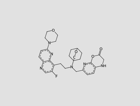 O=C1CNc2ccc(CN(CCc3c(F)cnc4ccc(N5CCOCC5)nc34)C34CCC(CC3)OC4)nc2O1